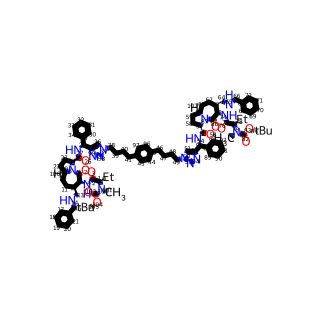 CC[C@@H](C(=O)N[C@@H]1C(=O)N2[C@@H](CC[C@@H]1CNCc1ccccc1)CC[C@H]2C(=O)N[C@@H](c1ccccc1)c1cn(CCCCc2ccc(CCCCn3cc([C@@H](NC(=O)[C@@H]4CC[C@@H]5CC[C@H](CNCc6ccccc6)[C@H](NC(=O)[C@H](CC)N(C)C(=O)OC(C)(C)C)C(=O)N54)c4ccccc4)nn3)cc2)nn1)N(C)C(=O)OC(C)(C)C